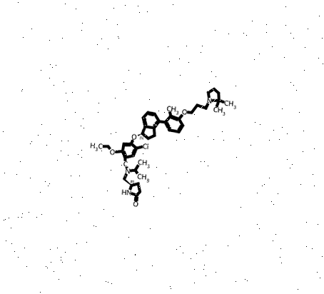 CCOc1cc(O[C@H]2CCc3c(-c4cccc(OCCCN5CCCC5(C)C)c4C)cccc32)c(Cl)cc1CN(C[C@H]1CCC(=O)N1)C(C)C